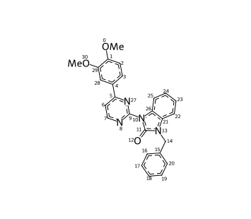 COc1ccc(-c2ccnc(-n3c(=O)n(Cc4ccccc4)c4ccccc43)n2)cc1OC